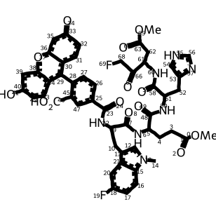 COC(=O)CCC(NC(=O)C(Cc1cn(C)c2ccc(F)cc12)NC(=O)c1ccc(-c2c3ccc(=O)cc-3oc3cc(O)ccc23)c(C(=O)O)c1)C(=O)NC(Cc1c[nH]cn1)C(=O)NC(CC(=O)OC)C(=O)CF